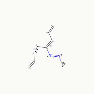 C=C\C=C/C(=C\C=C)/N=N/C(C)C